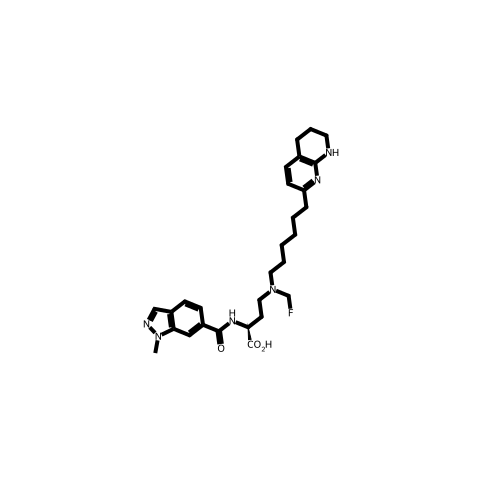 Cn1ncc2ccc(C(=O)N[C@@H](CCN(CF)CCCCCCc3ccc4c(n3)NCCC4)C(=O)O)cc21